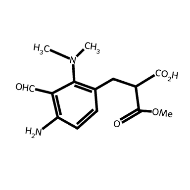 COC(=O)C(Cc1ccc(N)c(C=O)c1N(C)C)C(=O)O